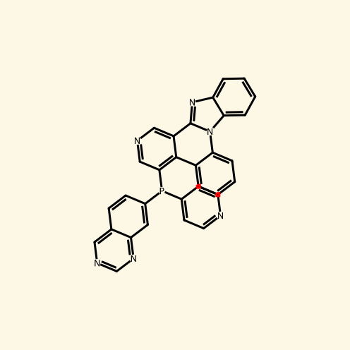 c1ccc2c(c1)nc1c3cncc(P(c4ccncc4)c4ccc5cncnc5c4)c3c3ccccc3n21